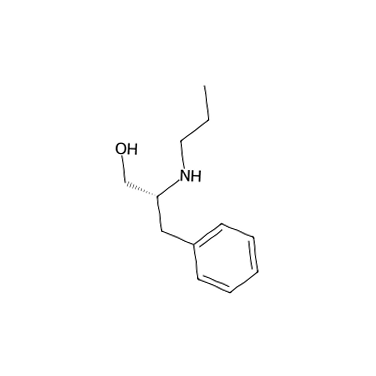 CCCN[C@@H](CO)Cc1ccccc1